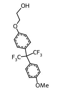 COc1ccc(C(c2ccc(OCCO)cc2)(C(F)(F)F)C(F)(F)F)cc1